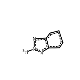 [3H]n1nc2ccccc2n1